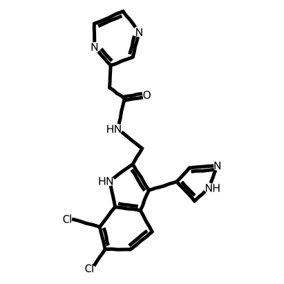 O=C(Cc1cnccn1)NCc1[nH]c2c(Cl)c(Cl)ccc2c1-c1cn[nH]c1